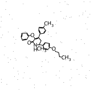 CCCCOc1ccc([C@]2(C)CC(c3ccc(C)cc3)=C(Oc3ccccc3)C(=O)N2)cc1